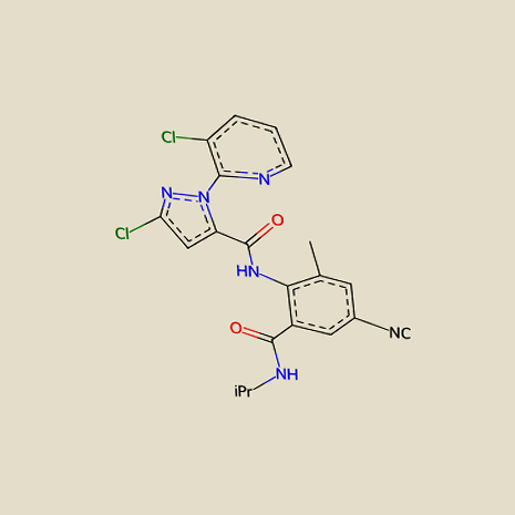 [C-]#[N+]c1cc(C)c(NC(=O)c2cc(Cl)nn2-c2ncccc2Cl)c(C(=O)NC(C)C)c1